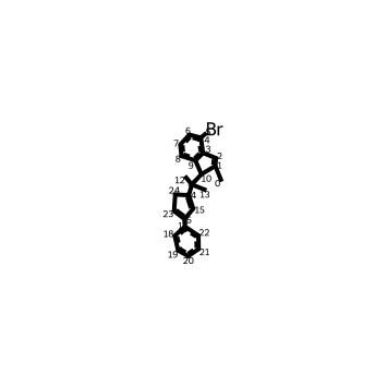 CC1=Cc2c(Br)cccc2C1C(C)(C)C1=CC(c2ccccc2)=CC1